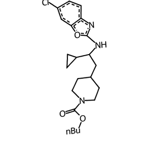 CCCCOC(=O)N1CCC(CC(Nc2nc3ccc(Cl)cc3o2)C2CC2)CC1